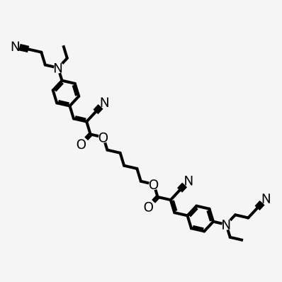 CCN(CCC#N)c1ccc(/C=C(\C#N)C(=O)OCCCCCOC(=O)/C(C#N)=C/c2ccc(N(CC)CCC#N)cc2)cc1